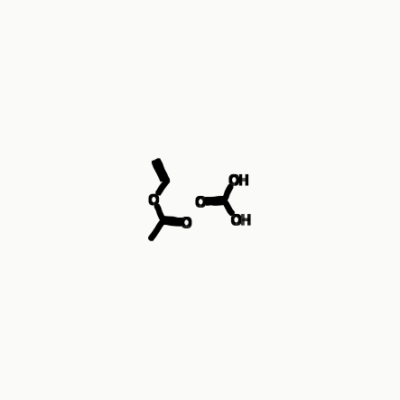 C=COC(C)=O.O=C(O)O